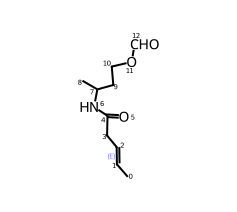 C/C=C/CC(=O)NC(C)CCOC=O